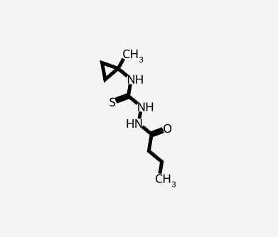 CCCC(=O)NNC(=S)NC1(C)CC1